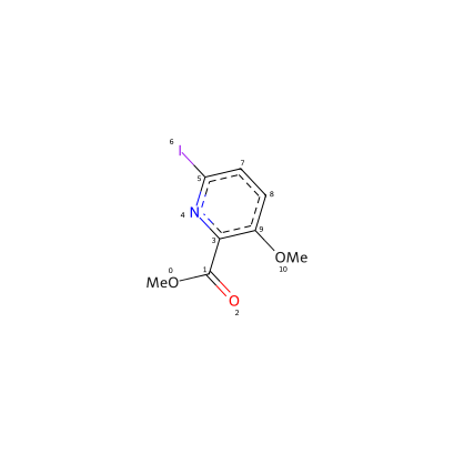 COC(=O)c1nc(I)ccc1OC